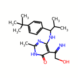 Cc1nc(NC(c2ccc(C(C)(C)C)cc2)C(C)C)c(C(=N)CO)c(=O)[nH]1